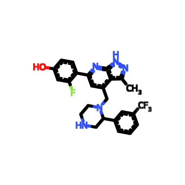 Cc1n[nH]c2nc(-c3ccc(O)cc3F)cc(CN3CCNCC3c3cccc(C(F)(F)F)c3)c12